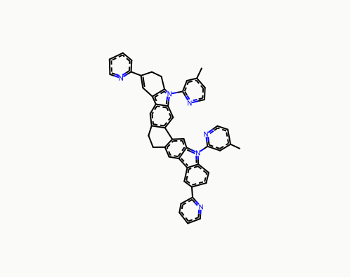 Cc1ccnc(-n2c3c(c4cc5c(cc42)-c2cc4c(cc2CC5)c2cc(-c5ccccn5)ccc2n4-c2cc(C)ccn2)C=C(c2ccccn2)CC3)c1